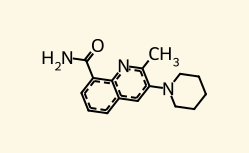 Cc1nc2c(C(N)=O)cccc2cc1N1CCCCC1